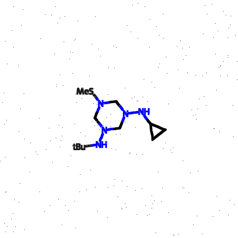 CSN1CN(NC2CC2)CN(NC(C)(C)C)C1